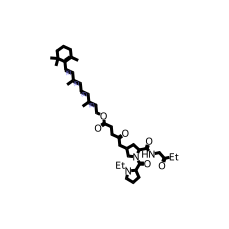 CCC(=O)CNC(=O)C1CC(CC(=O)CCC(=O)OC/C=C(C)/C=C/C=C(C)/C=C/C2=C(C)CCCC2(C)C)CN1C(=O)C1CCCN1CC